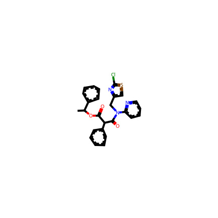 CC(OC(=O)C(C(=O)N(Cc1csc(Cl)n1)c1ccccn1)c1ccccc1)c1ccccc1